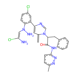 C=C1C=C(c2cc(Cl)ccc2N(N)/C=C(\N)Cl)N=CN1C(Cc1ccccc1)C(=O)Nc1ccc(C)nn1